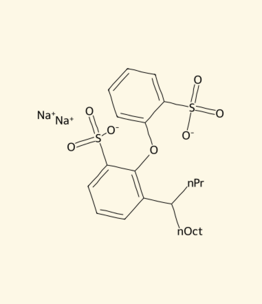 CCCCCCCCC(CCC)c1cccc(S(=O)(=O)[O-])c1Oc1ccccc1S(=O)(=O)[O-].[Na+].[Na+]